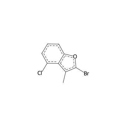 Cc1c(Br)oc2cccc(Cl)c12